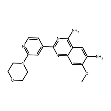 COc1cc2nc(-c3ccnc(N4CCOCC4)c3)nc(N)c2cc1N